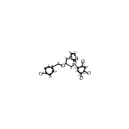 Clc1ccc(COC(CNc2cc(Cl)c(Cl)cc2Cl)Cn2ccnc2)cc1